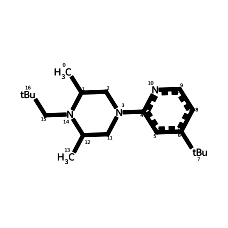 CC1CN(c2cc(C(C)(C)C)ccn2)CC(C)N1CC(C)(C)C